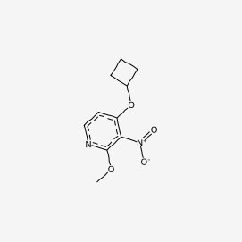 COc1nccc(OC2CCC2)c1[N+](=O)[O-]